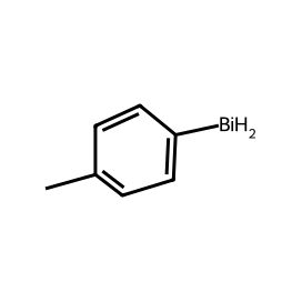 Cc1cc[c]([BiH2])cc1